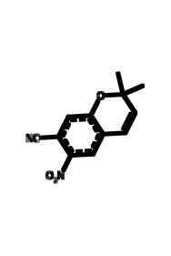 CC1(C)C=Cc2cc([N+](=O)[O-])c(C#N)cc2O1